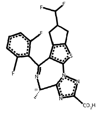 C[C@@H]1N=C(c2c(F)cccc2F)c2c(sc3c2CC(C(F)F)C3)-n2nc(C(=O)O)nc21